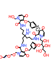 Cc1c(C(=O)NCCCC(N)(CCCNC(=O)c2c(OCc3ccccc3)c(=O)ccn2CO)CCCNC(=O)c2c(OCc3ccccc3)c(=O)ccn2COCO/C=C/O)n(CC(O)C(O)C(O)C(O)CO)ccc1=O